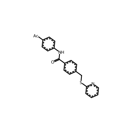 CC(=O)c1ccc(NC(=O)c2ccc(CSc3ccccn3)cc2)cc1